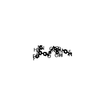 Cc1ncsc1-c1ccc([C@H](C)NC(=O)[C@@H]2C[C@@H](O)CN2C(=O)[C@@H](NC(=O)[C@H]2C[C@H](C(=O)N3CCC(c4cc(Nc5cnccn5)nc(N5CCC(F)(F)C5)c4)CC3)C2)C(C)(C)C)cc1